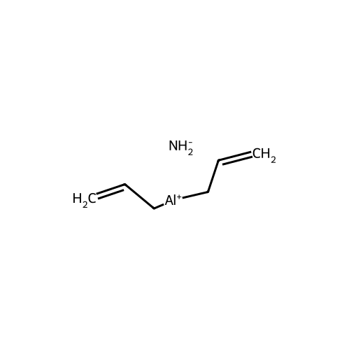 C=C[CH2][Al+][CH2]C=C.[NH2-]